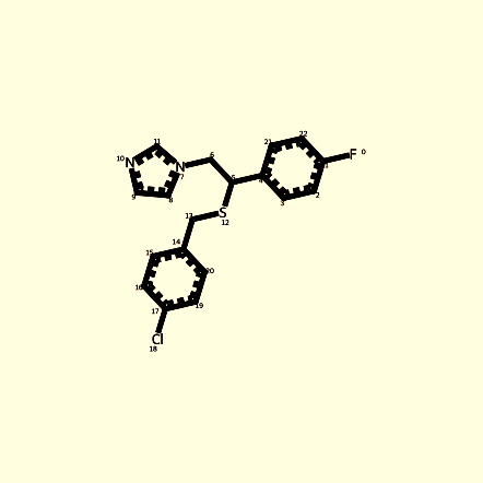 Fc1ccc(C(Cn2ccnc2)SCc2ccc(Cl)cc2)cc1